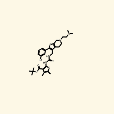 Cc1sc(NC(=O)NCc2c(-c3cccc(Cl)c3)sc3c2CCN(CCN(C)C)C3)c(C(=O)OC(C)(C)C)c1C